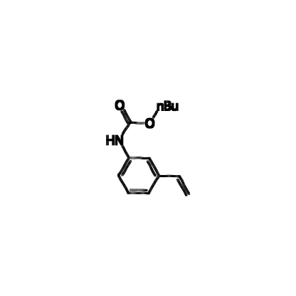 C=Cc1cccc(NC(=O)OCCCC)c1